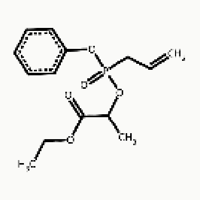 C=CCP(=O)(Oc1ccccc1)OC(C)C(=O)OCC